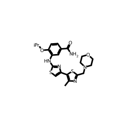 Cc1nc(CN2CCOCC2)sc1-c1csc(Nc2cc(C(N)=O)ccc2OC(C)C)n1